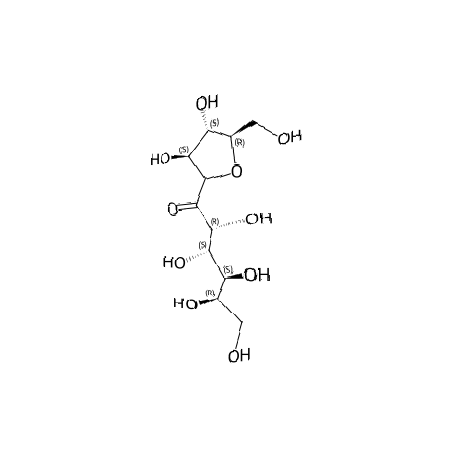 O=C(C1O[C@H](CO)[C@@H](O)[C@@H]1O)[C@H](O)[C@@H](O)[C@@H](O)[C@H](O)CO